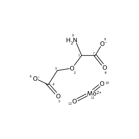 NC(OCC(=O)[O-])C(=O)[O-].[O]=[Mo+2]=[O]